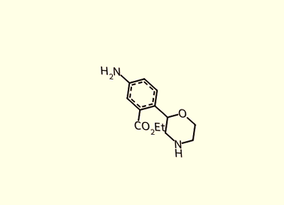 CCOC(=O)c1cc(N)ccc1C1CNCCO1